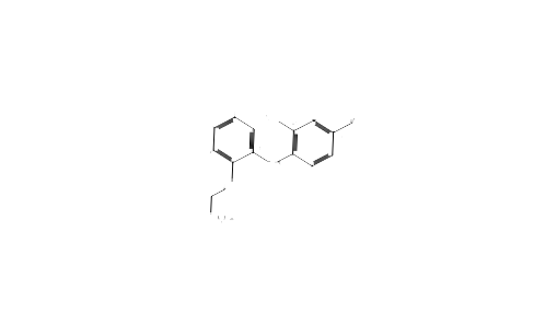 COCOc1ccccc1Pc1ccc(C)cc1C(C)=O